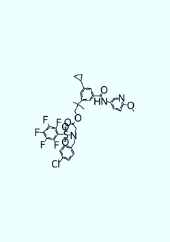 COc1ccc(NC(=O)c2cc(C3CC3)cc(C(C)(C)COC(=O)CN(Cc3ccc(Cl)cc3)S(=O)(=O)c3c(F)c(F)c(F)c(F)c3F)c2)cn1